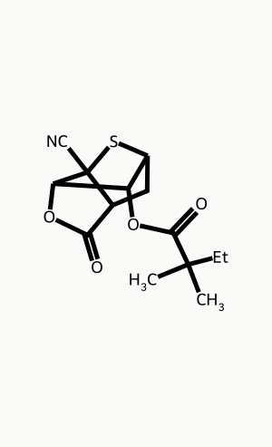 CCC(C)(C)C(=O)OC1C2CC3C(=O)OC1C3(C#N)S2